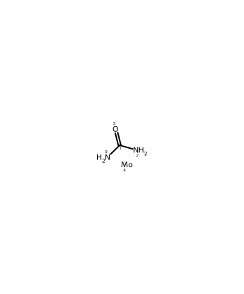 NC(N)=O.[Mo]